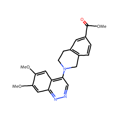 COC(=O)c1ccc2c(c1)CCN(c1cnnc3cc(OC)c(OC)cc13)C2